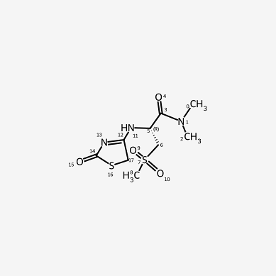 CN(C)C(=O)[C@H](CS(C)(=O)=O)NC1=NC(=O)SC1